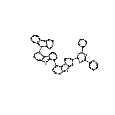 c1ccc(-c2nc(-c3ccccc3)nc(-c3ccc4c(c3)oc3cccc(-c5cccc6c5sc5cccc(-n7c8ccccc8c8ccccc87)c56)c34)n2)cc1